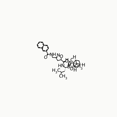 CC(C)C[C@H](NC(=O)C1CC(CNC(=O)c2ccc3ccccc3c2)=NO1)B1O[C@@H]2C[C@@H]3C[C@@H](C3(C)C)[C@]2(C)O1